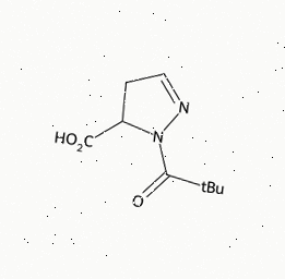 CC(C)(C)C(=O)N1N=CCC1C(=O)O